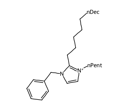 CCCCCCCCCCCCCCCc1n(Cc2ccccc2)cc[n+]1CCCCC